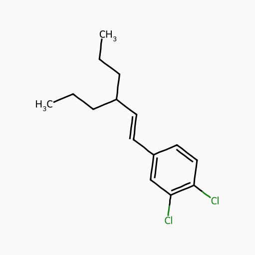 CCCC(/C=C/c1ccc(Cl)c(Cl)c1)CCC